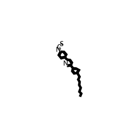 CCCCCCCCc1ccc(-c2ccc(-c3ccc(N=C=S)cc3)nc2)cc1